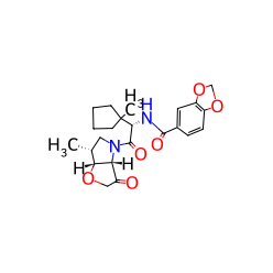 C[C@@H]1CN(C(=O)[C@@H](NC(=O)c2ccc3c(c2)OCO3)C2(C)CCCC2)[C@@H]2C(=O)CO[C@H]12